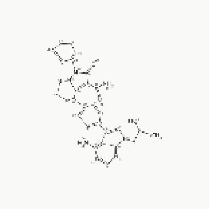 CC(O)Cn1cc(-c2ccc(C3CCCn4c3c(C(N)=O)c(=O)n4-c3ccccc3)cc2)c2c(N)ncnc21